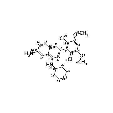 COc1cc(OC)c(Cl)c(-c2cc3cnc(N)cc3c(NC3CCOCC3)n2)c1Cl